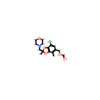 Cc1c(COC=O)cc(Br)c2c1OC(C)(CN1CCOCC1)O2